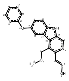 COCc1c(C=NO)ncc2[nH]c3ccc(Oc4cnccn4)cc3c12